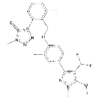 COc1c(C(F)F)c(-c2ccc(OCc3c(C)cccc3-n3nnn(C)c3=O)c(C)c2)nn1C